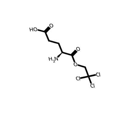 N[C@@H](CCC(=O)O)C(=O)OCC(Cl)(Cl)Cl